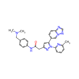 Cc1cccc(-n2nc(CC(=O)Nc3ccc(CN(C)C)cc3)cc2-c2ccc3ncnn3c2)n1